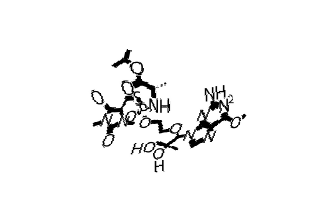 COc1nc(N)nc2c1ncn2[C@H](OCCO[P@](=O)(N[C@@H](C)C(=O)OC(C)C)SC[C@@H]1C(=O)N(C)C(=O)N1C)[C@](C)(O)CO